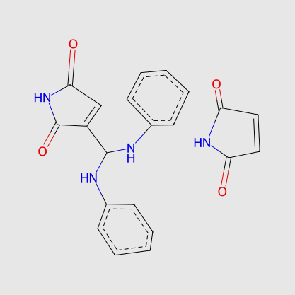 O=C1C=C(C(Nc2ccccc2)Nc2ccccc2)C(=O)N1.O=C1C=CC(=O)N1